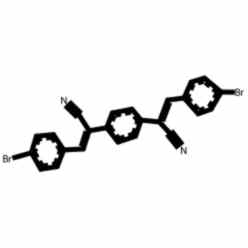 N#C/C(=C\c1ccc(Br)cc1)c1ccc(/C(C#N)=C/c2ccc(Br)cc2)cc1